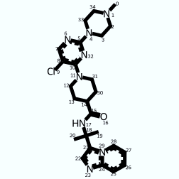 CN1CCN(c2ncc(Cl)c(N3CCC(C(=O)NC(C)(C)c4cnc5ccccn45)CC3)n2)CC1